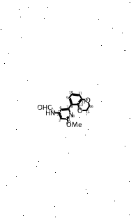 COc1cc(NC=O)cc(-c2cccc3c2OCCO3)n1